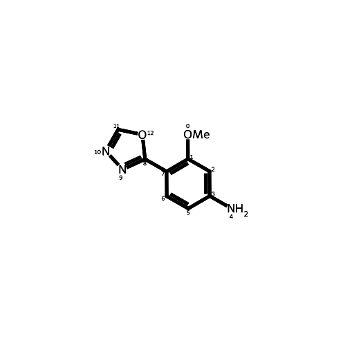 COc1cc(N)ccc1-c1nnco1